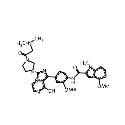 COc1cc(-c2nc([C@@H]3CCN(C(=O)CN(C)C)C3)n3ccnc(C)c23)ccc1NC(=O)c1cc2c(OC)cccc2n1C